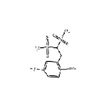 COc1ccc(C)cc1CC(S(=O)(=O)C(F)(F)F)S(=O)(=O)C(F)(F)F